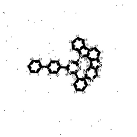 c1ccc(-c2ccc(-c3nc(-c4ccccc4)nc(-n4c5ccccc5c5ccc6sc7cncnc7c6c54)n3)cc2)cc1